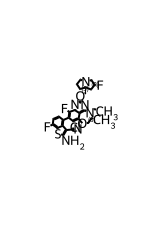 CCN1c2nc(OC[C@@]34CCCN3C[C@H](F)C4)nc3c(F)c(-c4ccc(F)c5sc(N)c(C#N)c45)c(Cl)c(c23)OC[C@@H]1C